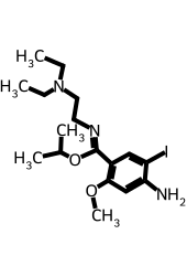 CCN(CC)CC/N=C(\OC(C)C)c1cc(I)c(N)cc1OC